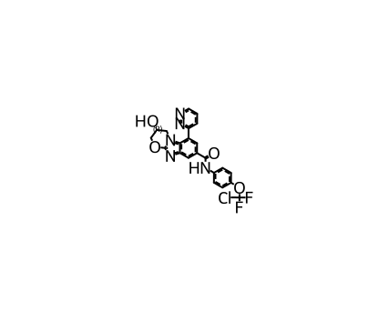 O=C(Nc1ccc(OC(F)(F)Cl)cc1)c1cc(-c2cccnn2)c2c(c1)nc1n2C[C@@H](O)CO1